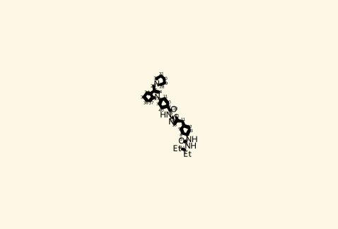 CCC(CC)NC(=O)Nc1ccc(Cc2cnc(NC(=O)c3ccc(-n4cc(CN5CCCCC5)c5ccccc54)cc3)s2)cc1